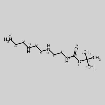 CC(C)(C)OC(=O)NCCNCCNCCN